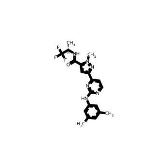 Cc1cc(C)cc(Nc2nccc(-c3cc(C(=O)N[C@@H](C)C(F)(F)F)n(C)n3)n2)c1